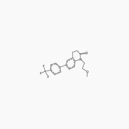 COCCN1C(=O)CCc2cc(-c3ccc(C(F)(F)F)cc3)ccc21